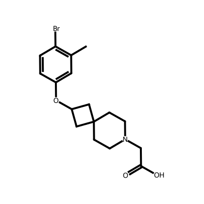 Cc1cc(OC2CC3(CCN(CC(=O)O)CC3)C2)ccc1Br